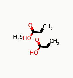 C=CC(=O)O.C=CC(=O)O.[SiH4]